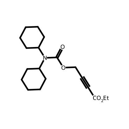 CCOC(=O)C#CCOC(=O)N(C1CCCCC1)C1CCCCC1